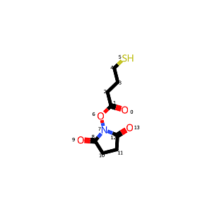 O=C(CCCS)ON1C(=O)CCC1=O